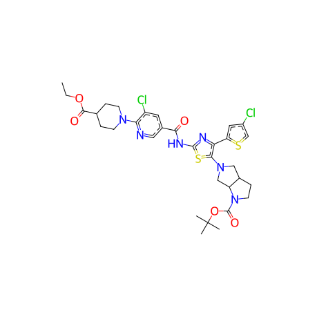 CCOC(=O)C1CCN(c2ncc(C(=O)Nc3nc(-c4cc(Cl)cs4)c(N4CC5CCN(C(=O)OC(C)(C)C)C5C4)s3)cc2Cl)CC1